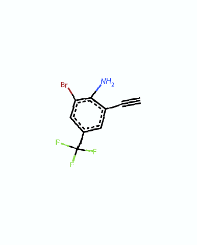 C#Cc1cc(C(F)(F)F)cc(Br)c1N